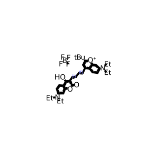 CCN(CC)c1ccc2c(O)c(/C=C/C=C/c3cc(C(C)(C)C)[o+]c4cc(N(CC)CC)ccc34)c(=O)oc2c1.F[B-](F)(F)F